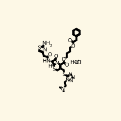 CN(C)CCn1nnnc1SCC1=C(C(=O)OCCCCOC(=O)Cc2ccccc2)N2C(=O)[C@@H](NC(=O)Cc3csc(N)n3)[C@@H]2SC1.Cl.Cl